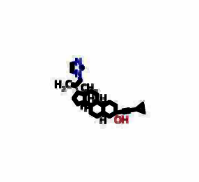 C=C(Cn1ccnc1)[C@H]1CC[C@H]2[C@@H]3CC[C@@H]4C[C@](O)(C#CC5CC5)CC[C@@H]4[C@H]3CC[C@]12C